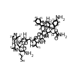 CSCC[C@H](NC(=O)[C@H](CC(C)C)NC(=O)[C@H](Cc1c[nH]cn1)NC(=O)CNC(=O)[C@@H](NC(=O)[C@H](C)NC(=O)[C@H](Cc1c[nH]c2ccccc12)NC(=O)[C@H](CCC(N)=O)N(C(=O)CN)C(=O)c1ccc(N)cc1)C(C)C)C(N)=O